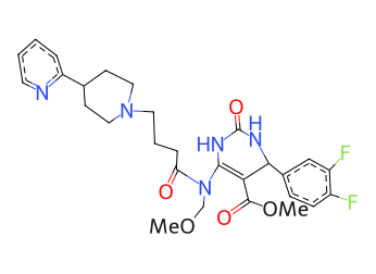 COCN(C(=O)CCCN1CCC(c2ccccn2)CC1)C1=C(C(=O)OC)C(c2ccc(F)c(F)c2)NC(=O)N1